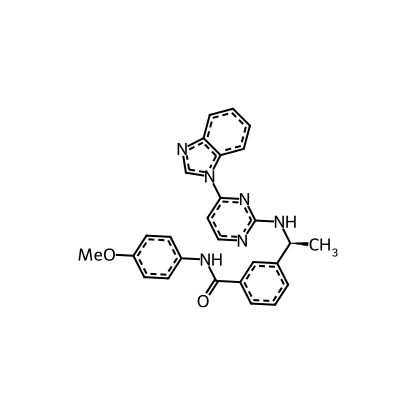 COc1ccc(NC(=O)c2cccc([C@H](C)Nc3nccc(-n4cnc5ccccc54)n3)c2)cc1